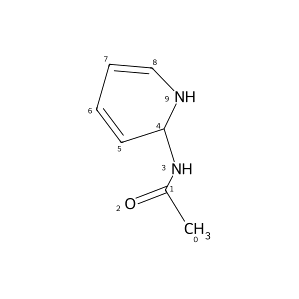 CC(=O)NC1C=CC=CN1